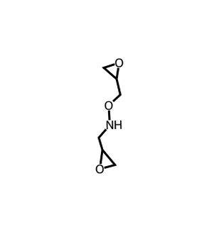 C(NOCC1CO1)C1CO1